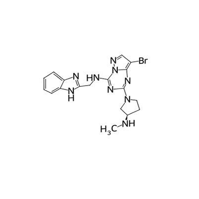 CN[C@@H]1CCN(c2nc(NCc3nc4ccccc4[nH]3)n3ncc(Br)c3n2)C1